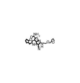 N#Cc1cc2c(-c3oc4cccc-4cc3N)c(C(N)=O)sc2nc1NCCOCC1CCCO1